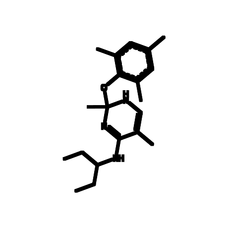 CCC(CC)NC1=NC(C)(Oc2c(C)cc(C)cc2C)NC=C1C